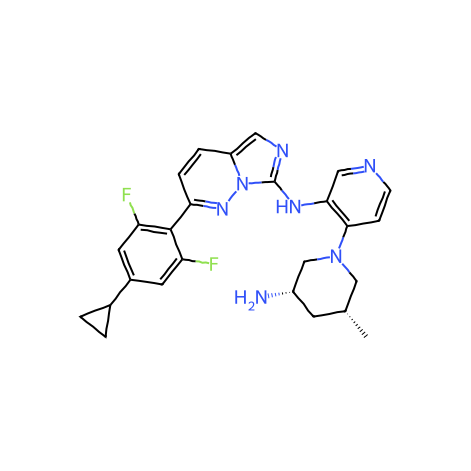 C[C@@H]1C[C@H](N)CN(c2ccncc2Nc2ncc3ccc(-c4c(F)cc(C5CC5)cc4F)nn23)C1